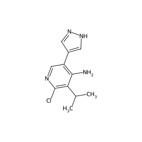 CC(C)c1c(Cl)ncc(-c2cn[nH]c2)c1N